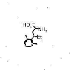 CCC(CC(N)C(=O)O)c1c(C)cccc1C